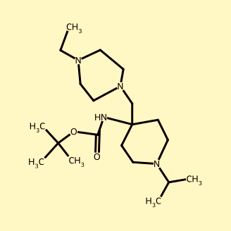 CCN1CCN(CC2(NC(=O)OC(C)(C)C)CCN(C(C)C)CC2)CC1